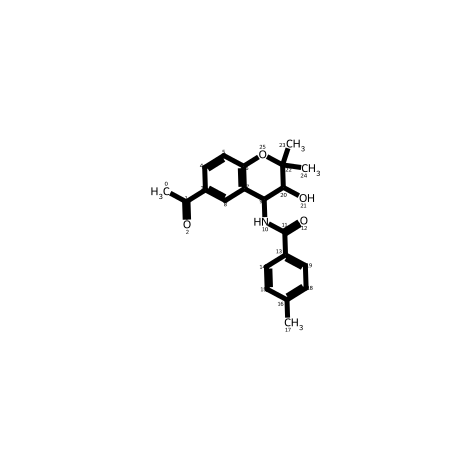 CC(=O)c1ccc2c(c1)C(NC(=O)c1ccc(C)cc1)C(O)C(C)(C)O2